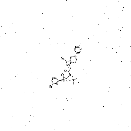 CC(=O)c1nn(CC(=O)N2CC(F)(F)C[C@H]2C(=O)Nc2cccc(Br)n2)c2ccc(-c3cnc(C)nc3)cc12